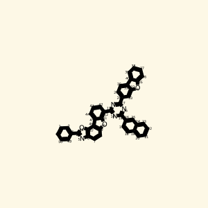 c1ccc(-c2nc3ccc4oc5c(-c6nc(-c7ccc8ccccc8c7)nc(-c7ccc8c(c7)oc7ccccc78)n6)cccc5c4c3o2)cc1